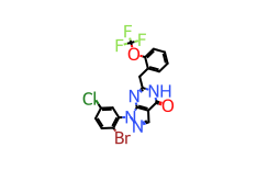 O=c1[nH]c(Cc2ccccc2OC(F)(F)F)nc2c1cnn2-c1cc(Cl)ccc1Br